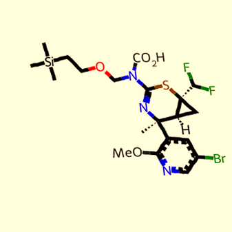 COc1ncc(Br)cc1[C@@]1(C)N=C(N(COCC[Si](C)(C)C)C(=O)O)S[C@@]2(C(F)F)C[C@@H]12